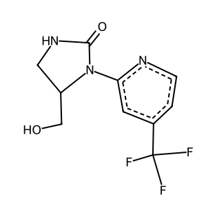 O=C1NCC(CO)N1c1cc(C(F)(F)F)ccn1